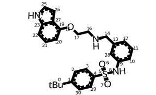 CC(C)(C)c1ccc(S(=O)(=O)Nc2cccc(CNCCOc3cccc4[nH]ccc34)c2)cc1